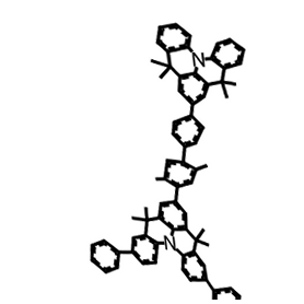 Cc1cc(-c2cc3c4c(c2)C(C)(C)c2cc(-c5ccccc5)ccc2N4c2ccc(-c4ccccc4)cc2C3(C)C)c(C)cc1-c1ccc(-c2cc3c4c(c2)C(C)(C)c2ccccc2N4c2ccccc2C3(C)C)cc1